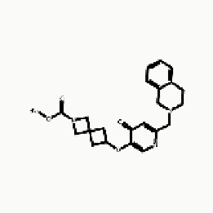 CC(C)(C)OC(=O)N1CC2(CC(Oc3coc(CN4CCc5ccccc5C4)cc3=O)C2)C1